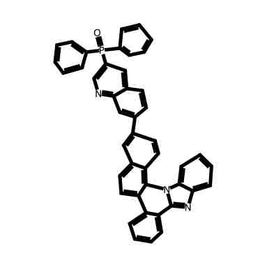 O=P(c1ccccc1)(c1ccccc1)c1cnc2cc(-c3ccc4c(ccc5c6ccccc6c6nc7ccccc7n6c45)c3)ccc2c1